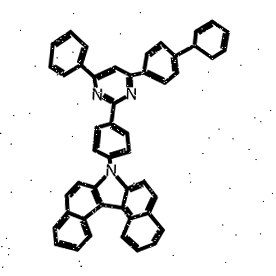 C1=CCC(c2ccc(-c3cc(-c4ccccc4)nc(-c4ccc(-n5c6ccc7ccccc7c6c6c7ccccc7ccc65)cc4)n3)cc2)C=C1